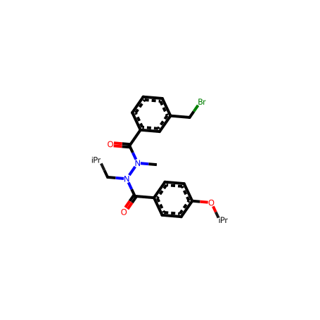 CC(C)CN(C(=O)c1ccc(OC(C)C)cc1)N(C)C(=O)c1cccc(CBr)c1